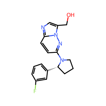 OCc1cnc2ccc(N3CCC[C@@H]3c3cccc(F)c3)nn12